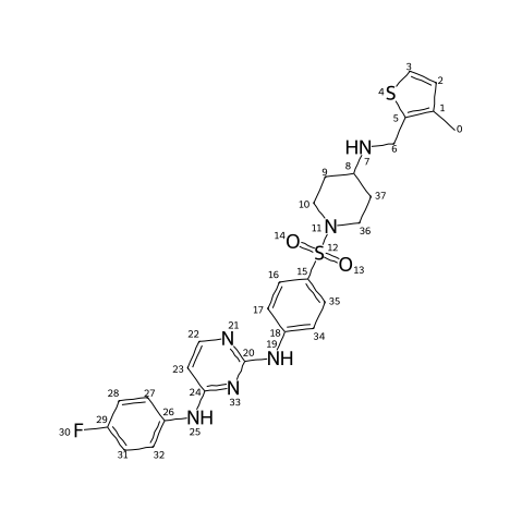 Cc1ccsc1CNC1CCN(S(=O)(=O)c2ccc(Nc3nccc(Nc4ccc(F)cc4)n3)cc2)CC1